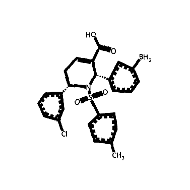 Bc1cccc([C@H]2C(C(=O)O)=CC[C@@H](c3cccc(Cl)c3)N2S(=O)(=O)c2ccc(C)cc2)c1